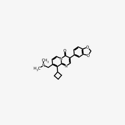 CN(C)Cc1ccn2c(=O)c(-c3ccc4c(c3)OCO4)cnc2c1C1CCC1